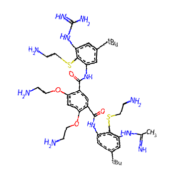 CC(=N)Nc1cc(C(C)(C)C)cc(NC(=O)c2cc(C(=O)Nc3cc(C(C)(C)C)cc(NC(=N)N)c3SCCN)c(OCCN)cc2OCCN)c1SCCN